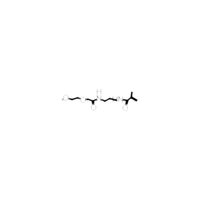 C=C(C)C(=O)NCCCNC(=O)COCCOC